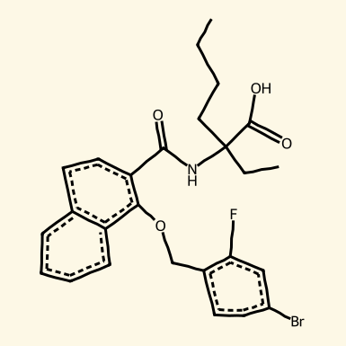 CCCCC(CC)(NC(=O)c1ccc2ccccc2c1OCc1ccc(Br)cc1F)C(=O)O